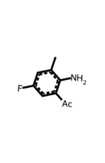 CC(=O)c1cc(F)cc(C)c1N